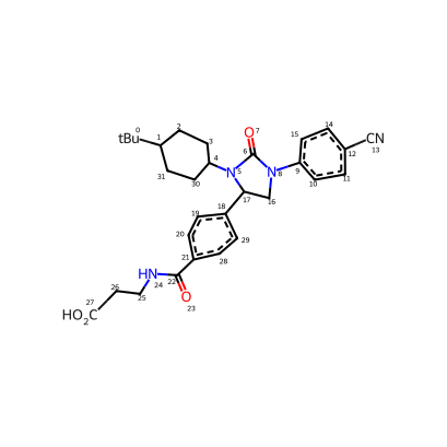 CC(C)(C)C1CCC(N2C(=O)N(c3ccc(C#N)cc3)CC2c2ccc(C(=O)NCCC(=O)O)cc2)CC1